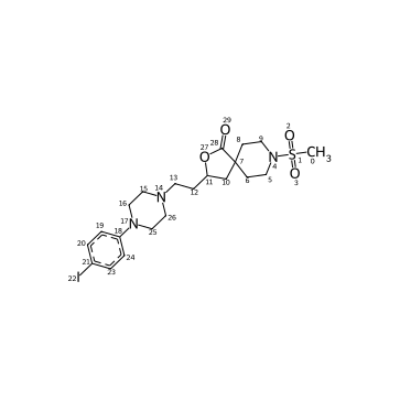 CS(=O)(=O)N1CCC2(CC1)CC(CCN1CCN(c3ccc(I)cc3)CC1)OC2=O